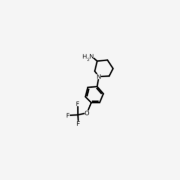 NC1CCCN(c2ccc(OC(F)(F)F)cc2)C1